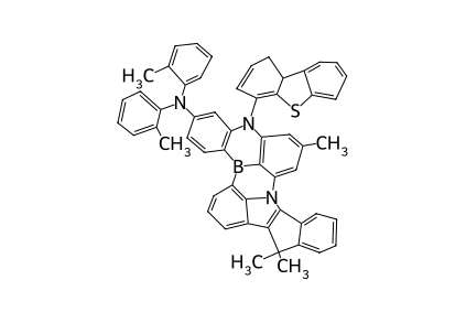 Cc1cc2c3c(c1)-n1c4c(c5cccc(c51)B3c1ccc(N(c3ccccc3C)c3ccccc3C)cc1N2C1=C2Sc3ccccc3C2CC=C1)C(C)(C)c1ccccc1-4